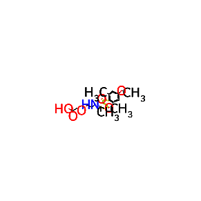 COc1cc(C)c(S(=O)(=O)C(C)NCCOCC(=O)O)c(C)c1